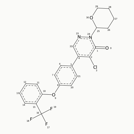 O=c1c(Cl)c(-c2ccc(Oc3ccccc3C(F)(F)F)cc2)cnn1C1CCCCO1